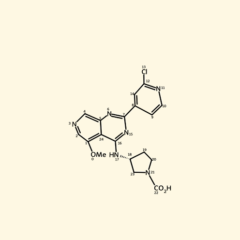 COc1cncc2nc(-c3ccnc(Cl)c3)nc(N[C@@H]3CCN(C(=O)O)C3)c12